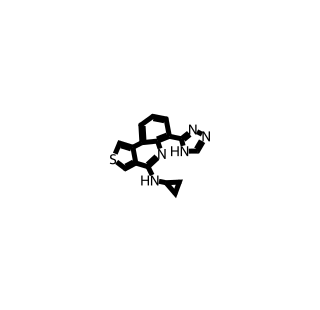 c1cc(-c2nnc[nH]2)c2nc(NC3CC3)c3cscc3c2c1